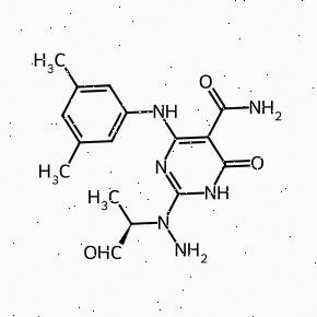 Cc1cc(C)cc(Nc2nc(N(N)[C@H](C)C=O)[nH]c(=O)c2C(N)=O)c1